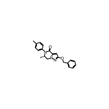 Cc1ccc(N2C(=O)c3cc(OCc4ccccc4)nn3C[C@H]2C)cc1